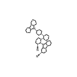 N#Cc1ccc2c3ccccc3n(-c3c(C#N)cccc3-c3ccccc3-c3ccc(-n4c5ccccc5c5ccccc54)cc3)c2c1